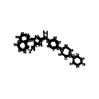 Nc1nc(Nc2ccc(N3CCN(C4CCCCC4)CC3)cc2)nn1-c1nccc2ccccc12